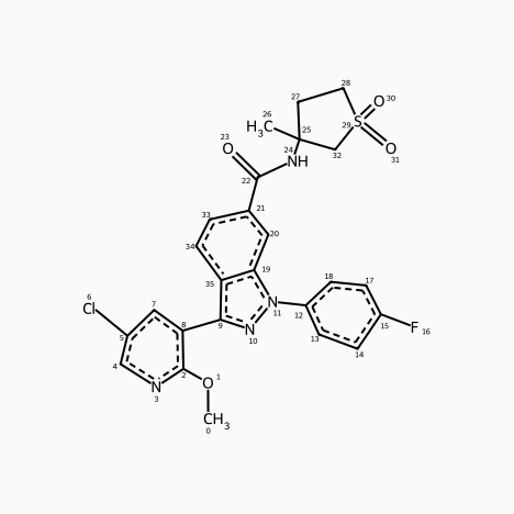 COc1ncc(Cl)cc1-c1nn(-c2ccc(F)cc2)c2cc(C(=O)NC3(C)CCS(=O)(=O)C3)ccc12